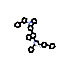 N/C(=N\C(=C/Cc1ccc(-c2ccccc2)cc1)c1ccc(-c2ccc3c(c2)c2ccccc2n3-c2cccc(-c3ccccc3)c2)c2ccccc12)c1ccccc1